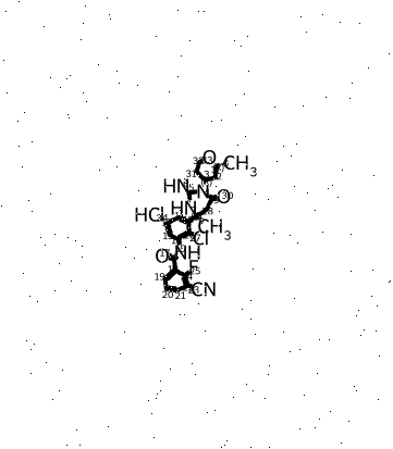 C[C@@H]1C[C@H](N2C(=N)N[C@](C)(c3cccc(NC(=O)c4cccc(C#N)c4F)c3Cl)CC2=O)CCO1.Cl